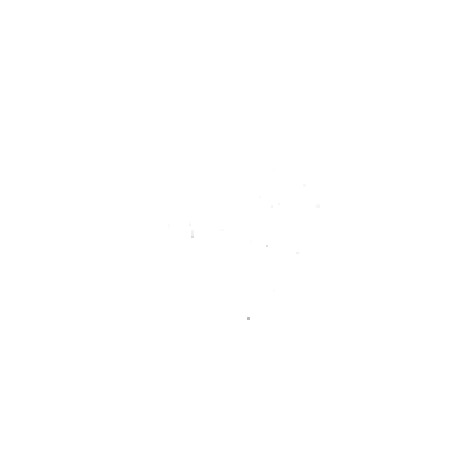 COC(=O)c1ccc(N(Cc2cccc(Cl)c2Cl)S(=O)(=O)CCCN(C)C)cc1